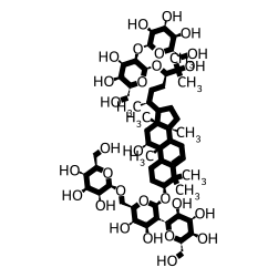 C[C@H](CC[C@@H](O[C@@H]1O[C@H](CO)[C@@H](O)[C@H](O)[C@H]1O[C@H]1O[C@@H](CO)[C@H](O)[C@@H](O)[C@@H]1O)C(C)(C)O)C1CC[C@@]2(C)C3CC=C4C(CC[C@H](O[C@@H]5O[C@H](CO[C@@H]6O[C@H](CO)[C@@H](O)[C@H](O)[C@H]6O)[C@@H](O)[C@H](O)C5[C@H]5O[C@@H](CO)[C@H](O)[C@@H](O)[C@@H]5O)C4(C)C)[C@]3(C)[C@H](O)C[C@]12C